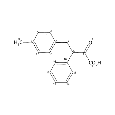 Cc1ccc(CC(C(=O)C(=O)O)c2ccccc2)cc1